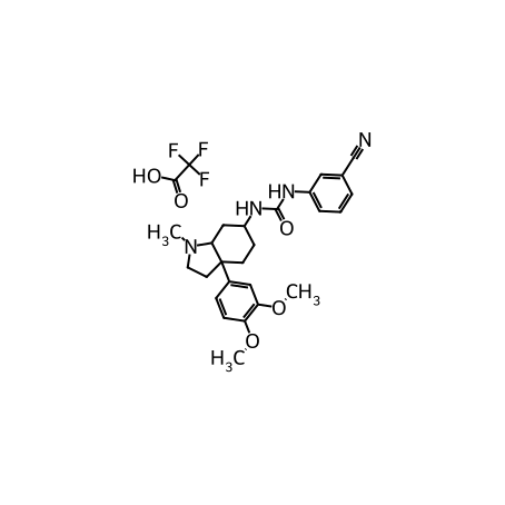 COc1ccc(C23CCC(NC(=O)Nc4cccc(C#N)c4)CC2N(C)CC3)cc1OC.O=C(O)C(F)(F)F